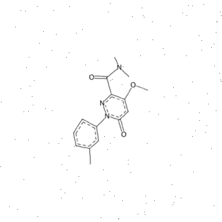 COc1cc(=O)n(-c2cccc(C)c2)nc1C(=O)N(C)C